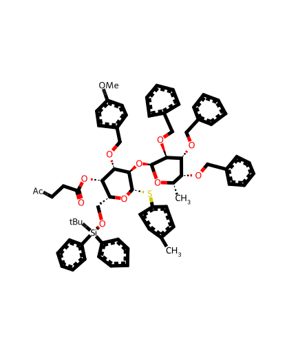 COc1ccc(CO[C@H]2[C@@H](OC(=O)CCC(C)=O)[C@@H](CO[Si](c3ccccc3)(c3ccccc3)C(C)(C)C)O[C@@H](Sc3ccc(C)cc3)[C@@H]2O[C@@H]2O[C@@H](C)[C@@H](OCc3ccccc3)[C@@H](OCc3ccccc3)[C@@H]2OCc2ccccc2)cc1